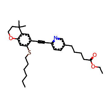 CCCCCCSc1cc2c(cc1C#Cc1ccc(CCCCC(=O)OCC)cn1)C(C)(C)CCO2